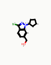 OCc1ccc2c(Br)nn(C3CCCC3)c2c1